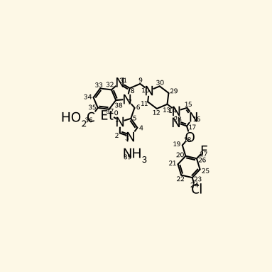 CCn1cncc1Cn1c(CN2CCC(n3cnc(OCc4ccc(Cl)cc4F)n3)CC2)nc2ccc(C(=O)O)cc21.N